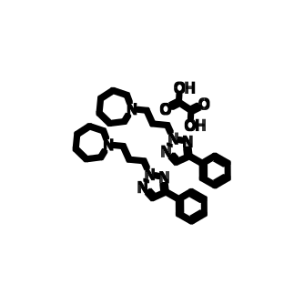 O=C(O)C(=O)O.c1ccc(-c2cnn(CCCN3CCCCCC3)n2)cc1.c1ccc(-c2cnn(CCCN3CCCCCC3)n2)cc1